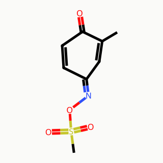 CC1=CC(=NOS(C)(=O)=O)C=CC1=O